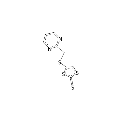 S=c1scc(SCc2ncccn2)s1